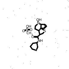 CS(=O)(=O)O.O=C(NC1CCCCC1)C1CSC23C=CC=CC2N(O)CCC13